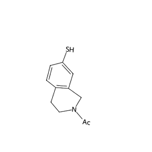 CC(=O)N1CCc2ccc(S)cc2C1